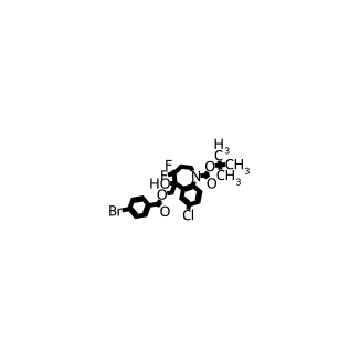 CC(C)(C)OC(=O)N1CCC(F)(F)C(O)(COC(=O)c2ccc(Br)cc2)c2cc(Cl)ccc21